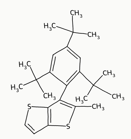 Cc1sc2ccsc2c1-c1c(C(C)(C)C)cc(C(C)(C)C)cc1C(C)(C)C